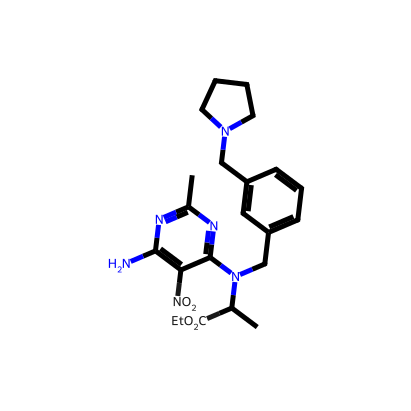 CCOC(=O)C(C)N(Cc1cccc(CN2CCCC2)c1)c1nc(C)nc(N)c1[N+](=O)[O-]